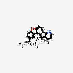 CC(C)c1ccc2oc3ccc4c(c3c2c1)C(C)(C)c1cccnc1-4